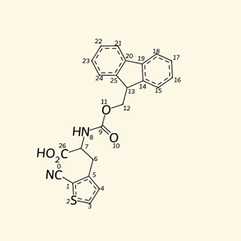 N#Cc1sccc1CC(NC(=O)OCC1c2ccccc2-c2ccccc21)C(=O)O